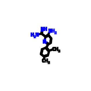 Cc1ccc(-c2ccc(N)c(C(=N)N)n2)c(C)c1